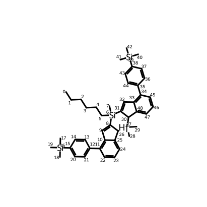 CCCCCC[Si]1(C)C2=Cc3c(-c4ccc([Si](C)(C)C)cc4)cccc3[CH]2[Hf]([CH3])([CH3])[CH]2C1=Cc1c(-c3ccc([Si](C)(C)C)cc3)cccc12